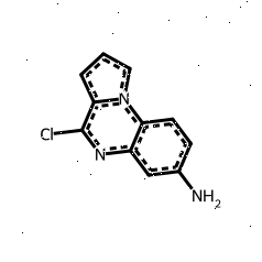 Nc1ccc2c(c1)nc(Cl)c1cccn12